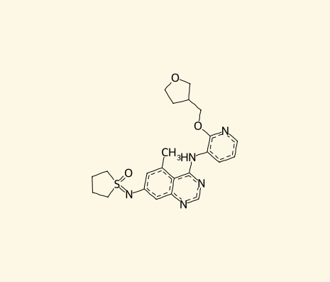 Cc1cc(N=S2(=O)CCCC2)cc2ncnc(Nc3cccnc3OCC3CCOC3)c12